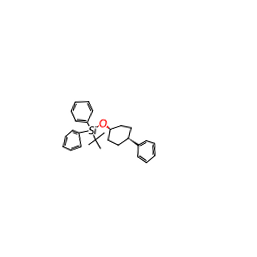 CC(C)(C)[Si](O[C@H]1CC[C@@H](c2ccccc2)CC1)(c1ccccc1)c1ccccc1